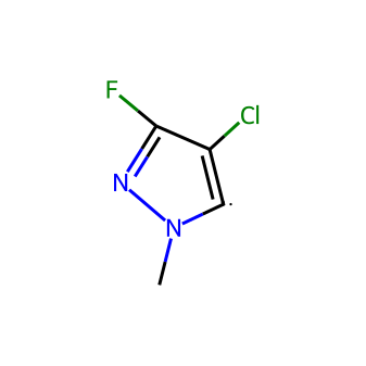 Cn1[c]c(Cl)c(F)n1